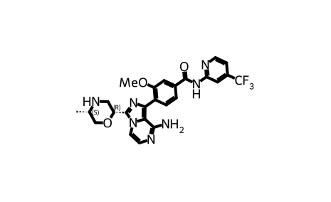 COc1cc(C(=O)Nc2cc(C(F)(F)F)ccn2)ccc1-c1nc([C@H]2CN[C@@H](C)CO2)n2ccnc(N)c12